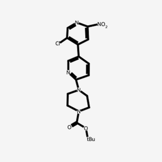 CC(C)(C)OC(=O)N1CCN(c2ccc(-c3cc([N+](=O)[O-])ncc3Cl)cn2)CC1